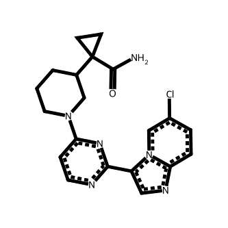 NC(=O)C1(C2CCCN(c3ccnc(-c4cnc5ccc(Cl)cn45)n3)C2)CC1